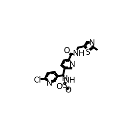 Cc1ncc(CNC(=O)c2ccc(C(N[SH](=O)=O)c3ccc(Cl)nc3)cn2)s1